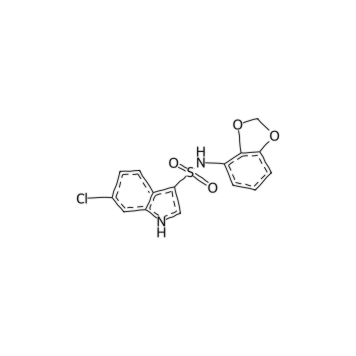 O=S(=O)(Nc1cccc2c1OCO2)c1c[nH]c2cc(Cl)ccc12